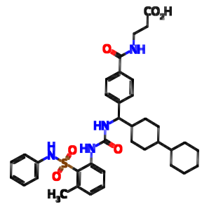 Cc1cccc(NC(=O)NC(c2ccc(C(=O)NCCC(=O)O)cc2)C2CCC(C3CCCCC3)CC2)c1S(=O)(=O)Nc1ccccc1